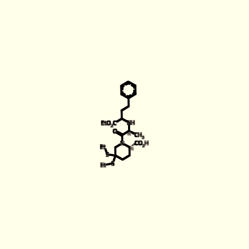 CCOC(=O)C(CCc1ccccc1)N[C@@H](C)C(=O)N1CC(SCC)(SCC)CC[C@H]1C(=O)O